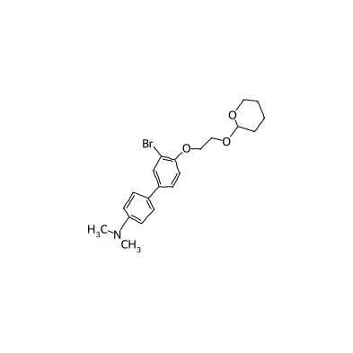 CN(C)c1ccc(-c2ccc(OCCOC3CCCCO3)c(Br)c2)cc1